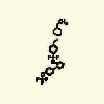 CC[C@H]1CC[C@H](CCc2ccc(C(F)(F)Oc3ccccc3-c3ccc(OC(F)(F)F)cc3)cc2)CC1